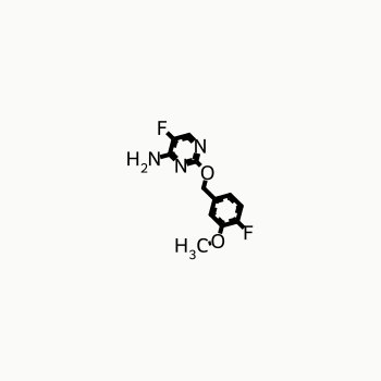 COc1cc(COc2ncc(F)c(N)n2)ccc1F